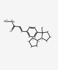 CC1(c2ccc(/C=C/C(=O)NO)cc2)CCCN1C1CCCC1